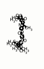 CCc1c2c(nc3ccc(OC(=O)N4CCN(C(=O)N5CCC(C(=O)OC(C)(C)C)(C(=O)OC(C)(C)C)CC5)CC4)cc13)-c1cc3c(c(=O)n1C2)COC(=O)[C@]3(O)CC